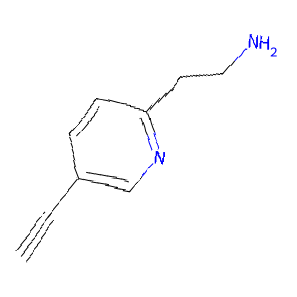 C#Cc1ccc(CCN)nc1